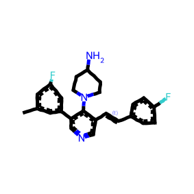 Cc1cc(F)cc(-c2cncc(/C=C/c3ccc(F)cc3)c2N2CCC(N)CC2)c1